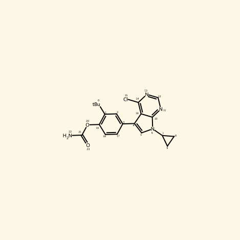 CC(C)(C)c1cc(-c2cn(C3CC3)c3ncnc(Cl)c23)ccc1OC(N)=O